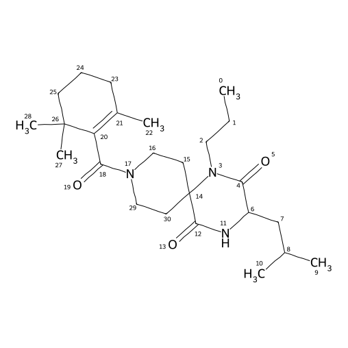 CCCN1C(=O)C(CC(C)C)NC(=O)C12CCN(C(=O)C1=C(C)CCCC1(C)C)CC2